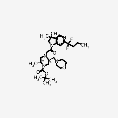 CCCC(F)(F)c1cc2c(cn1)C(C)(C)CN2C(=O)CN1C[C@@H](C)N(C(=O)OC(C)(C)C)C[C@@H]1CN1CCOCC1